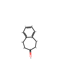 O=C1CCc2ccccc2CC1